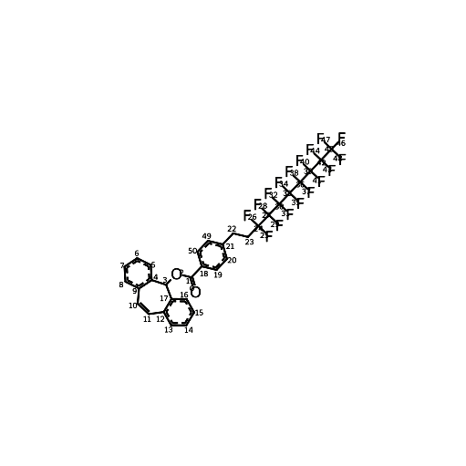 O=C(OC1c2ccccc2C=Cc2ccccc21)c1ccc(CCC(F)(F)C(F)(F)C(F)(F)C(F)(F)C(F)(F)C(F)(F)C(F)(F)C(F)(F)F)cc1